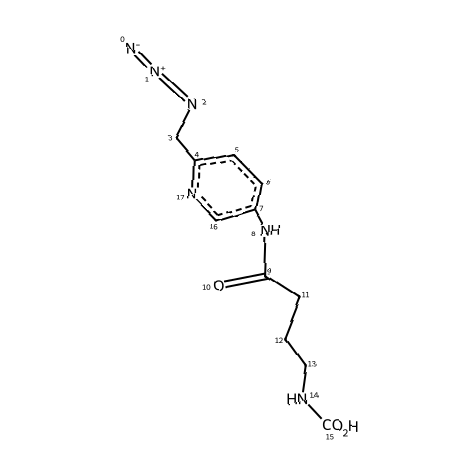 [N-]=[N+]=NCc1ccc(NC(=O)CCCNC(=O)O)cn1